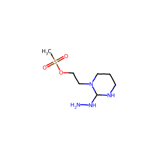 CS(=O)(=O)OCCN1CCCNC1NN